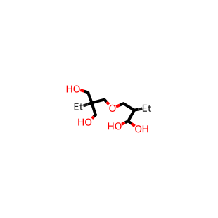 CCC(COCC(CC)(CO)CO)C(O)O